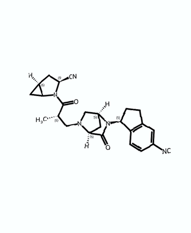 [C-]#[N+]c1ccc2c(c1)CC[C@@H]2N1C(=O)[C@@H]2C[C@H]1CN2C[C@H](C)C(=O)N1C2C[C@H]2C[C@H]1C#N